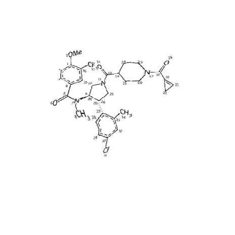 COc1ccc(C(=O)N(C)[C@H]2CN(C(=O)C3CCN(C(=O)C4=CC4)CC3)C[C@@H]2c2ccc(Cl)cc2C)cc1C(F)(F)F